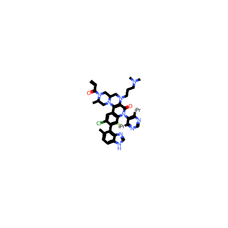 C=CC(=O)N1CC2CN(CCCN(C)C)c3c(c4cc(Cl)c(-c5c(C)ccc6[nH]cnc56)c(F)c4n(-c4c(C(C)C)ncnc4C(C)C)c3=O)N2CC1C